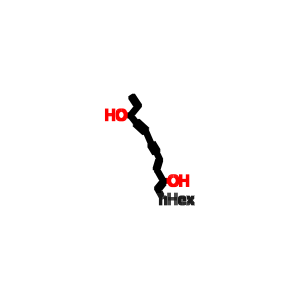 C=CC(O)C#CC#CC=CC(O)=CCCCCCC